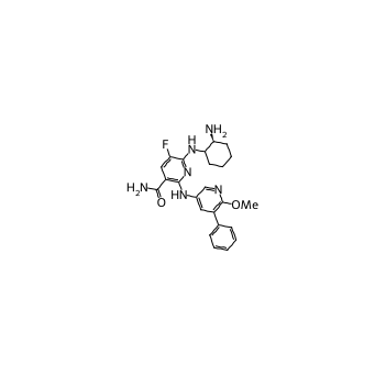 COc1ncc(Nc2nc(NC3CCCC[C@@H]3N)c(F)cc2C(N)=O)cc1-c1ccccc1